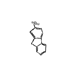 [CH2]CCCc1ccc2c(c1)Cc1ccccc1-2